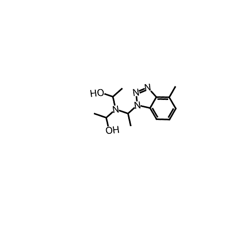 Cc1cccc2c1nnn2C(C)N(C(C)O)C(C)O